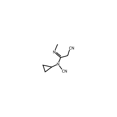 CN=C(CC#N)N(C#N)C1CC1